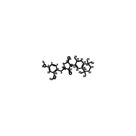 COc1ccc(CN2CC(=O)N(c3cc4c(cc3C)C(C)(C)CCC4(C)C)C2=O)c(OC)c1